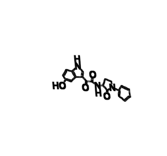 O=C(NC1CCN(c2ccccc2)C1=O)C(=O)c1c[nH]c2ccc(O)cc12